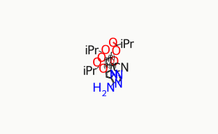 CC(C)C(=O)OC[C@H]1O[C@@](C#N)(c2ccc3c(N)ncnn23)[C@H](OC(=O)C(C)C)[C@@H]1OC(=O)C(C)C